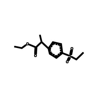 CCOC(=O)C(C)c1ccc(S(=O)(=O)CC)cc1